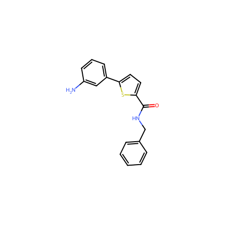 Nc1cccc(-c2ccc(C(=O)NCc3ccccc3)s2)c1